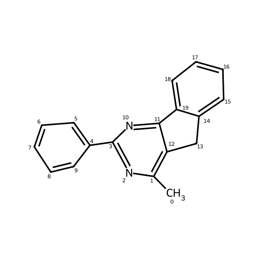 Cc1nc(-c2ccccc2)nc2c1Cc1ccccc1-2